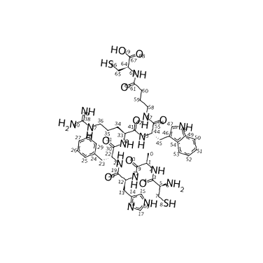 C[C@@H](NC(=O)[C@@H](N)CS)C(=O)N[C@@H](Cc1c[nH]cn1)C(=O)N[C@H](Cc1ccccc1)C(=O)N[C@@H](CCCNC(=N)N)C(=O)N[C@@H](Cc1c[nH]c2ccccc12)C(=O)NCCCC(=O)N[C@@H](CS)C(=O)O